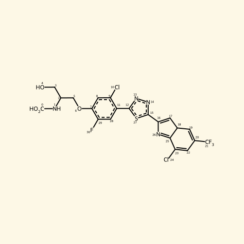 O=C(O)NC(CO)COc1cc(Cl)c(-c2nnc(C3=CC4C=C(C(F)(F)F)C=C(Cl)C4=N3)s2)cc1F